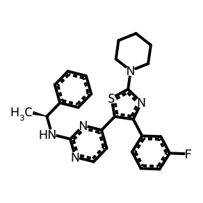 C[C@H](Nc1nccc(-c2sc(N3CCCCC3)nc2-c2cccc(F)c2)n1)c1ccccc1